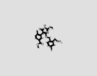 COC(=O)c1ccc(C)c(-c2c(OCc3ccc(F)cc3CN)nc(SC)[nH]c2=O)c1